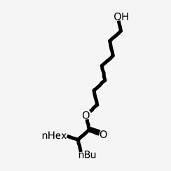 CCCCCCC(CCCC)C(=O)OCCCCCCCO